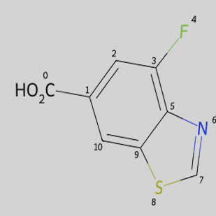 O=C(O)c1cc(F)c2ncsc2c1